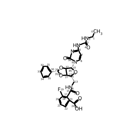 CCNC(=O)Nc1ccn([C@@H]2O[C@H](CNC(=O)c3c(F)cccc3C(=O)O)C3O[C@H](c4ccccc4)OC32)c(=O)n1